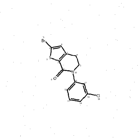 O=C1c2sc(Br)cc2CCN1c1cccc(Cl)c1